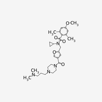 COc1cc(C)c(S(=O)(=O)N(Cc2cc(C(=O)N3CCN(CCCN(C)C)CC3)co2)C2CC2)c(C)c1